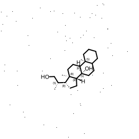 C[C@H](CO)[C@H]1CC[C@@H]2[C@]1(C)CC[C@H]1[C@@]2(O)CCC2CCCC[C@@]21C